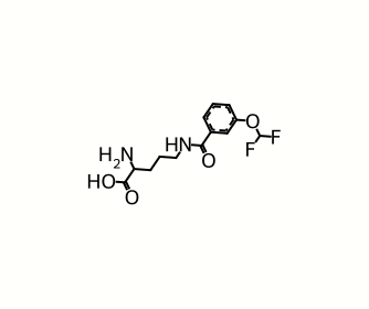 NC(CCCNC(=O)c1cccc(OC(F)F)c1)C(=O)O